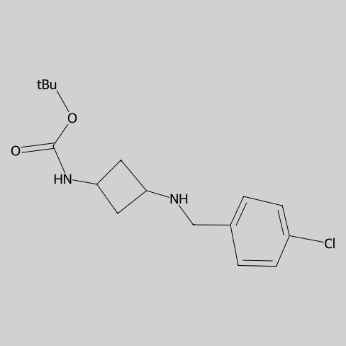 CC(C)(C)OC(=O)NC1CC(NCc2ccc(Cl)cc2)C1